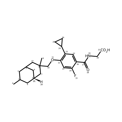 CC1CC2C[C@@H](C1)CC(C)(COc1cc(F)c(C(=O)NCC(=O)O)cc1C1CC1)C2